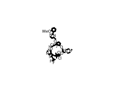 COc1ccccc1-c1nccc(COc2ccc3cc2C[C@H](C(=O)O)Oc2ncnc4sc(C5CC5(F)F)c(c24)-c2c(C)c(Cl)c(c(Cl)c2C)O[C@H](CN2CCN(C)CC2)CO3)n1